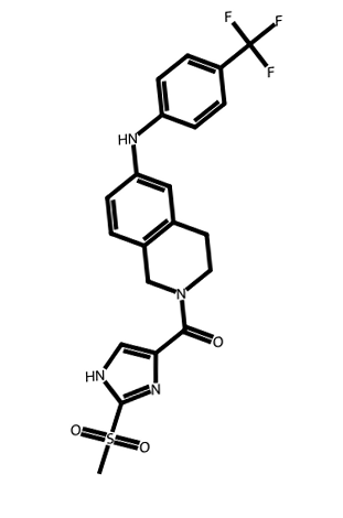 CS(=O)(=O)c1nc(C(=O)N2CCc3cc(Nc4ccc(C(F)(F)F)cc4)ccc3C2)c[nH]1